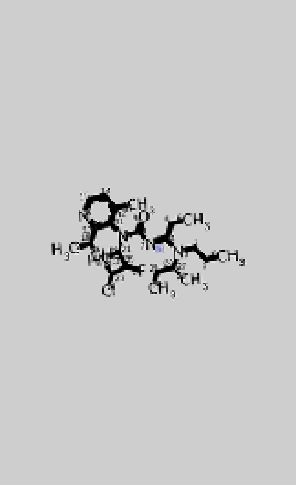 CCCN(/C(CC)=N/C(=O)N(c1c(C)ccnc1C(C)C)[C@@H]1NC(Cl)C1F)[C@@H](C)CC